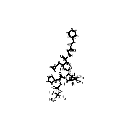 CC(C)(C)OC(=O)N[C@H](C(=O)N1C[C@H]2[C@@H]([C@H]1C(=O)NC(CC1CC1)C(=O)C(=O)NCC(=O)NCc1ccccc1)C2(C)C)C1CCCC1